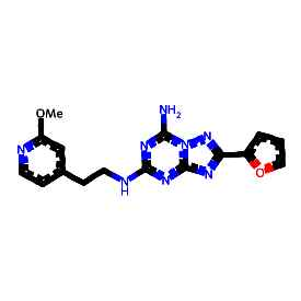 COc1cc(CCNc2nc(N)n3nc(-c4ccco4)nc3n2)ccn1